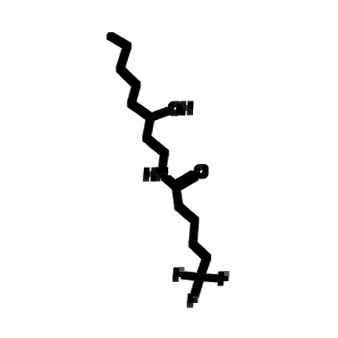 CCCCCC(O)CCNC(=O)CCCCC(F)(F)F